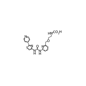 O=C(O)NCCOCc1cccc(NC(=O)Nc2csc(-c3ccncc3)n2)n1